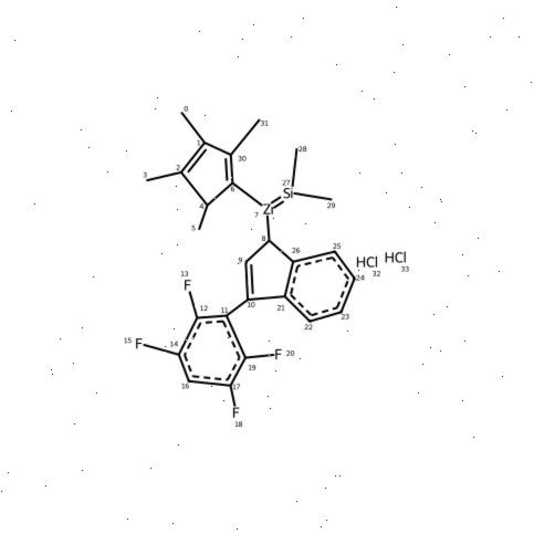 CC1=C(C)C(C)[C]([Zr]([CH]2C=C(c3c(F)c(F)cc(F)c3F)c3ccccc32)=[Si](C)C)=C1C.Cl.Cl